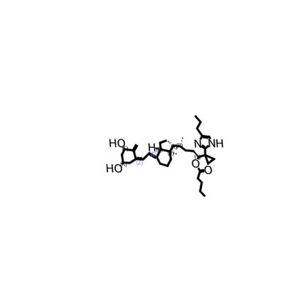 C=C1/C(=C\C=C2/CCC[C@]3(C)[C@@H]([C@H](C)CC[C@H](OC(=O)CCCC)C4(c5nc(CCC)c[nH]5)CC4)CC[C@@H]23)C[C@@H](O)C[C@@H]1O